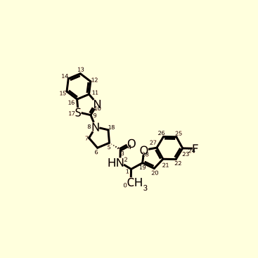 CC(NC(=O)[C@@H]1CCN(c2nc3ccccc3s2)C1)c1cc2cc(F)ccc2o1